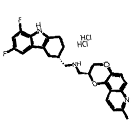 Cc1ccc2c3c(ccc2n1)OC[C@H](CNC[C@H]1CCc2[nH]c4c(F)cc(F)cc4c2C1)O3.Cl.Cl